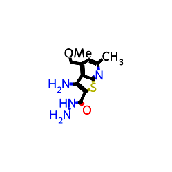 COCc1cc(C)nc2sc(C(=O)NN)c(N)c12